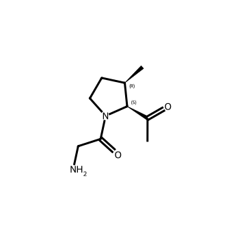 CC(=O)[C@@H]1[C@H](C)CCN1C(=O)CN